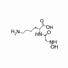 NCCCC[C@H](NC(=O)CNO)C(=O)O